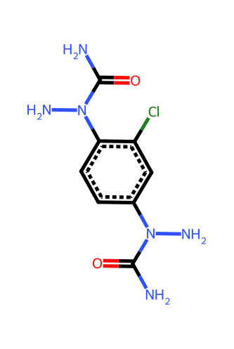 NC(=O)N(N)c1ccc(N(N)C(N)=O)c(Cl)c1